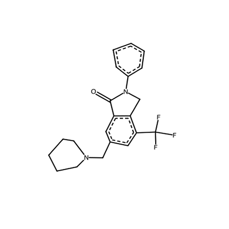 O=C1c2cc(CN3CCCCC3)cc(C(F)(F)F)c2CN1c1ccccc1